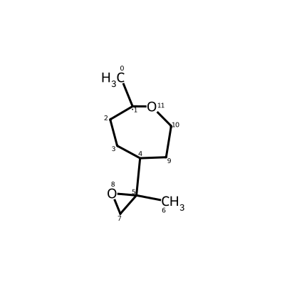 C[C]1CCC(C2(C)CO2)CCO1